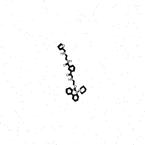 O=C(CNCCOC(=O)N(c1ccccc1-c1ccccc1)N1CC[CH]CC1)c1cccc(C(=O)NCCNCc2ccco2)c1